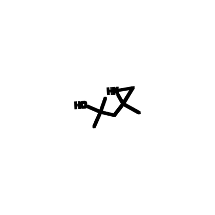 CC(C)(O)CC1(C)CN1